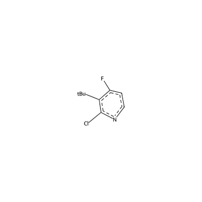 CC(C)(C)c1c(F)ccnc1Cl